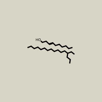 CCCCCCC=CCCO.CCCCCCCCCCCCC(CC)CCC